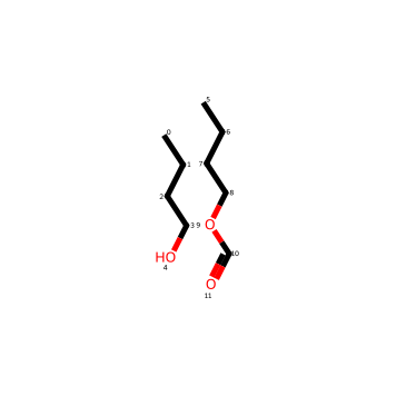 CCCCO.CCCCOC=O